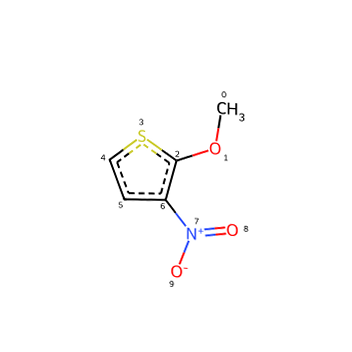 COc1sccc1[N+](=O)[O-]